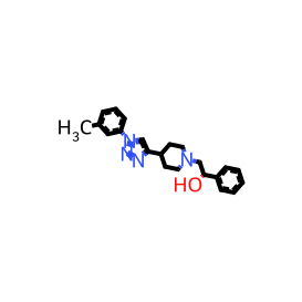 Cc1cccc(-n2cc(C3CCN(CC(O)c4ccccc4)CC3)nn2)c1